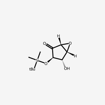 CC(C)(C)[Si](C)(C)O[C@H]1C(=O)[C@@H]2O[C@@H]2[C@@H]1O